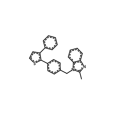 Cc1nc2ccccc2n1Cc1ccc(-c2sccc2-c2ccccc2)cc1